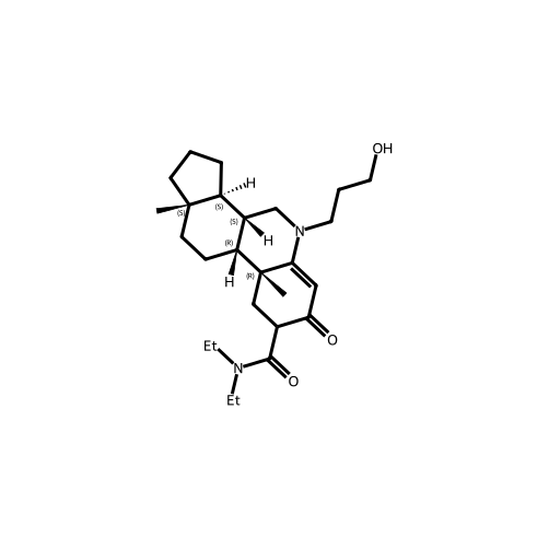 CCN(CC)C(=O)C1C[C@@]2(C)C(=CC1=O)N(CCCO)C[C@@H]1[C@H]2CC[C@]2(C)CCC[C@@H]12